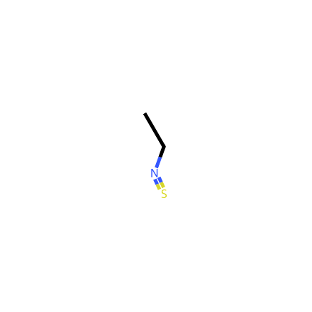 CCN=S